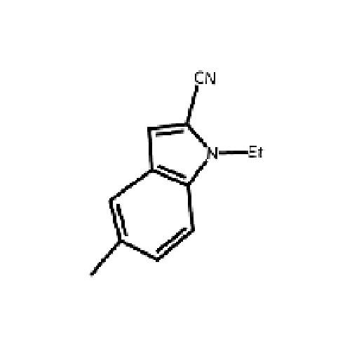 CCn1c(C#N)cc2cc(C)ccc21